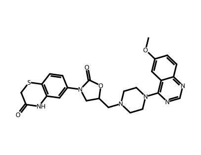 COc1ccc2ncnc(N3CCN(CC4CN(c5ccc6c(c5)NC(=O)CS6)C(=O)O4)CC3)c2c1